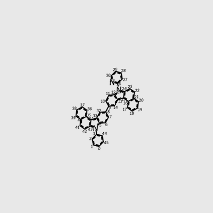 c1ccc(-n2c3ccc(-c4ccc5c(c4)c4c6ccccc6ccc4n5-c4ccccn4)cc3c3c4ccccc4ccc32)cc1